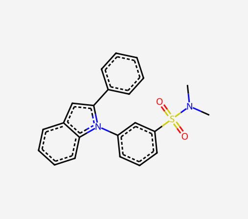 CN(C)S(=O)(=O)c1cccc(-n2c(-c3ccccc3)cc3ccccc32)c1